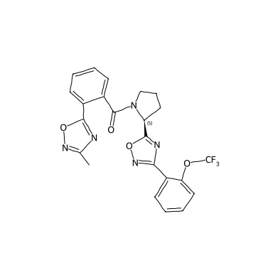 Cc1noc(-c2ccccc2C(=O)N2CCC[C@H]2c2nc(-c3ccccc3OC(F)(F)F)no2)n1